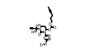 C#CC(CCC)(CCC)N1CCC(OC(=O)OCCCC#CC)N(c2nnc(SCC)s2)C1=O